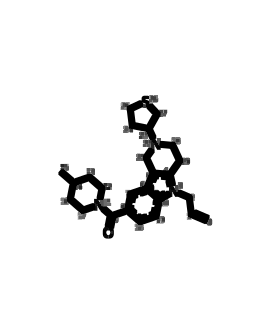 C=CCn1c2c(c3cc(C(=O)N4CCC(C)CC4)ccc31)CN(C1CCSC1)CC2